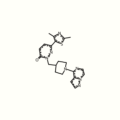 Cc1nc(C)c(-c2ccc(=O)n(CC3CCN(c4nccn5nccc45)CC3)n2)s1